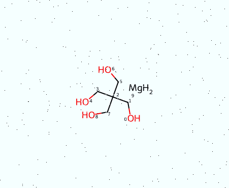 OCC(CO)(CO)CO.[MgH2]